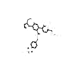 CCCNC(=O)c1ccc(-c2cc3c(cc2C(=O)NCc2ccc(S(N)(=O)=O)cc2)-c2sccc2CCO3)c(C(=O)O)n1